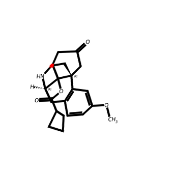 COc1ccc2c(c1)[C@]13CCN[C@H](C2)C1(OC(=O)C1CCC1)CCC(=O)C3